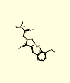 COc1cccc(/C=C2\SCN(CC(=O)N(C)C)C2=O)c1O